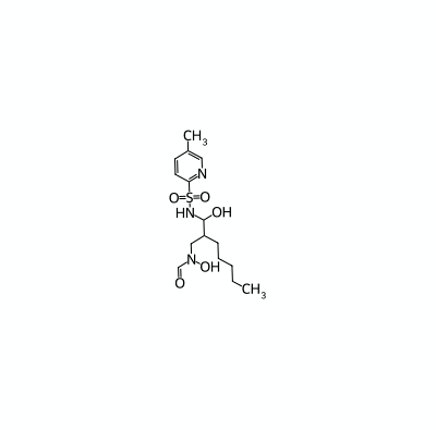 CCCCCC(CN(O)C=O)C(O)NS(=O)(=O)c1ccc(C)cn1